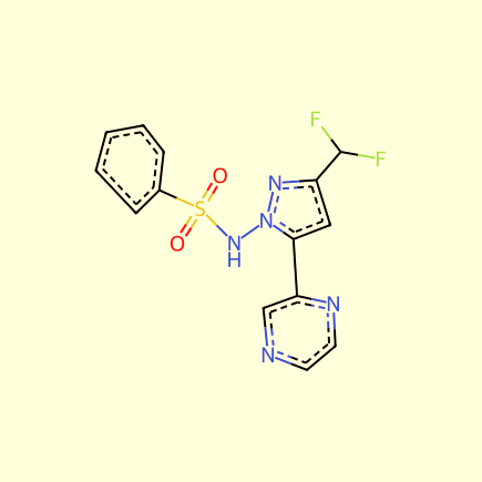 O=S(=O)(Nn1nc(C(F)F)cc1-c1cnccn1)c1ccccc1